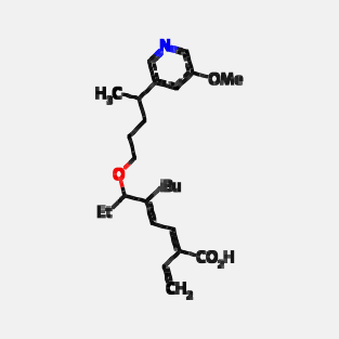 C=C/C(=C\C=C(/C(C)CC)C(CC)OCCCC(C)c1cncc(OC)c1)C(=O)O